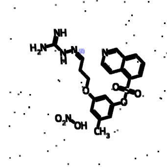 Cc1cc(OCC/C=N\NC(=N)N)cc(OS(=O)(=O)c2cccc3cnccc23)c1.O=[N+]([O-])O